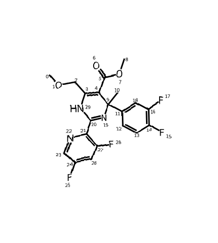 COCC1=C(C(=O)OC)C(C)(c2ccc(F)c(F)c2)N=C(c2ncc(F)cc2F)N1